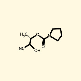 C[C@H](OC(=O)N1CCCC1)C(O)C#N